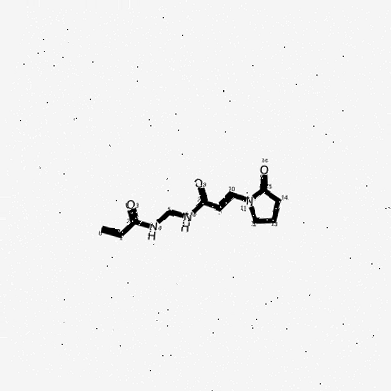 C=CC(=O)NCNC(=O)C=CN1CCCC1=O